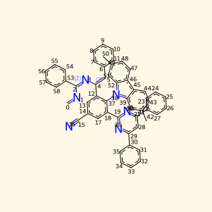 C=N/C(=N\C(=C/c1ccccc1)c1cc(C#N)cc(-c2nc(-c3ccccc3)cc(-c3ccccc3)n2)c1-n1c2cc(C)ccc2c2ccc(C)cc21)c1ccccc1